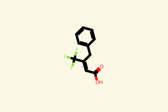 O=C(O)/C=C(\Cc1ccccc1)C(F)(F)F